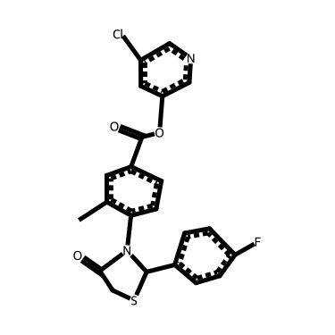 Cc1cc(C(=O)Oc2cncc(Cl)c2)ccc1N1C(=O)CSC1c1ccc(F)cc1